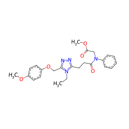 CCn1c(CCC(=O)N(CC(=O)OC)c2ccccc2)nnc1COc1ccc(OC)cc1